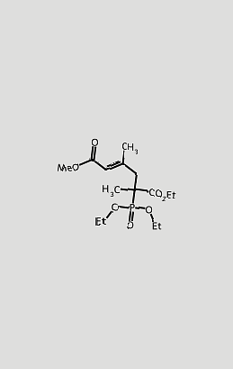 CCOC(=O)C(C)(CC(C)=CC(=O)OC)P(=O)(OCC)OCC